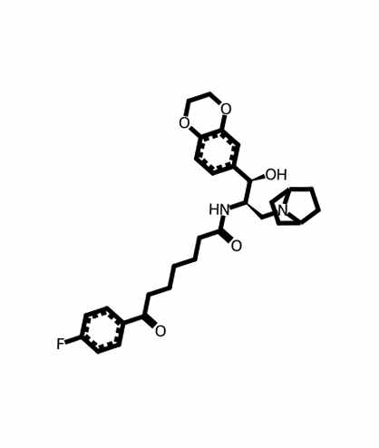 O=C(CCCCCC(=O)c1ccc(F)cc1)N[C@H](CN1C2CCC1CC2)[C@H](O)c1ccc2c(c1)OCCO2